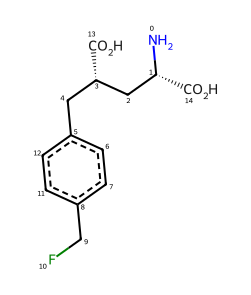 N[C@@H](C[C@H](Cc1ccc(CF)cc1)C(=O)O)C(=O)O